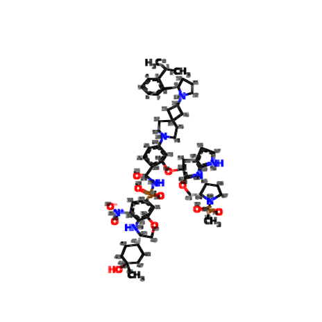 CC(C)c1ccccc1[C@H]1CCCN1C1CC2(CCN(c3ccc(C(=O)NS(=O)(=O)c4cc5c(c([N+](=O)[O-])c4)N[C@@H](C4CCC(C)(O)CC4)CO5)c(Oc4cc5cc[nH]c5nc4OC[C@@H]4CCCN4S(C)(=O)=O)c3)CC2)C1